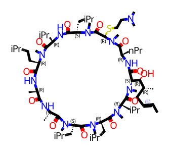 C/C=C/C[C@@H](C)[C@@H](O)[C@H]1C(=O)N[C@H](CCC)C(=O)N(C)[C@H](SCCN(C)C)C(=O)N(C)[C@@H](CC(C)C)C(=O)N[C@H](C(C)C)C(=O)N(C)[C@H](CCC(C)C)C(=O)N[C@H](C)C(=O)N[C@@H](C)C(=O)N(C)[C@@H](CC(C)C)C(=O)N(C)[C@H](CC(C)C)C(=O)N(C)[C@H](C(C)C)C(=O)N1C